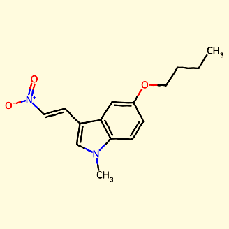 CCCCOc1ccc2c(c1)c(/C=C/[N+](=O)[O-])cn2C